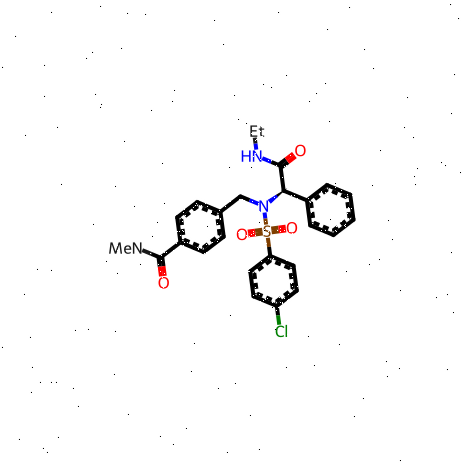 CCNC(=O)[C@@H](c1ccccc1)N(Cc1ccc(C(=O)NC)cc1)S(=O)(=O)c1ccc(Cl)cc1